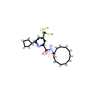 BC1(NC(=O)c2cc(C(F)(F)F)cc(C3CCCC3)n2)CCCCCCCCCC1